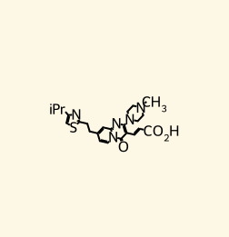 CC(C)c1csc(CCc2ccn3c(=O)c(/C=C/C(=O)O)c(N4CCN(C)CC4)nc3c2)n1